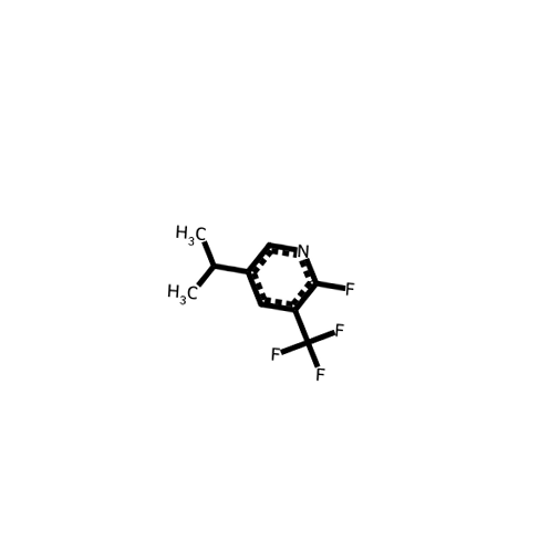 CC(C)c1cnc(F)c(C(F)(F)F)c1